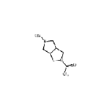 CC(C)(C)N1CC2CN(C(=O)C(F)(F)F)CC2C1